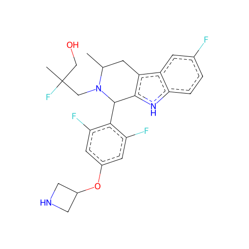 CC1Cc2c([nH]c3ccc(F)cc23)C(c2c(F)cc(OC3CNC3)cc2F)N1CC(C)(F)CO